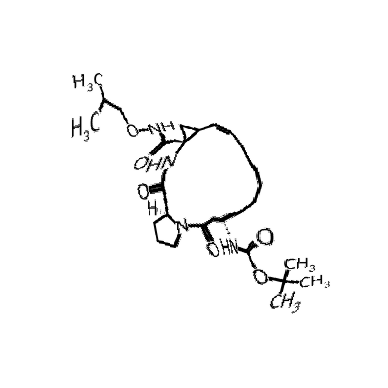 CC(C)CONC(=O)[C@@]12CC1/C=C\CCCCC[C@H](NC(=O)OC(C)(C)C)C(=O)N1CCC[C@H]1C(=O)N2